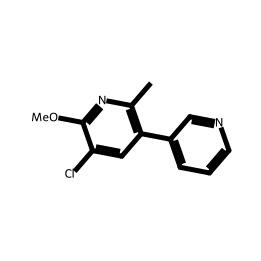 COc1nc(C)c(-c2cccnc2)cc1Cl